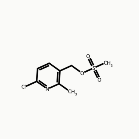 Cc1nc(Cl)ccc1COS(C)(=O)=O